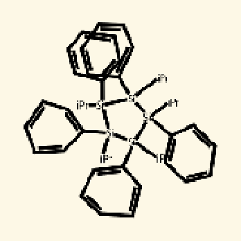 CC(C)[Si]1(c2ccccc2)[Si](c2ccccc2)(C(C)C)[Si](c2ccccc2)(C(C)C)[Si](c2ccccc2)(C(C)C)[Si]1(c1ccccc1)C(C)C